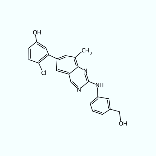 Cc1cc(-c2cc(O)ccc2Cl)cc2cnc(Nc3cccc(CO)c3)nc12